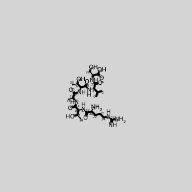 CC(C)[C@H](NC(=O)[C@@H](NC(=O)[C@H](C)NC(=O)[C@@H](NC(=O)[C@@H](N)CCCNC(=N)N)[C@@H](C)O)[C@@H](C)O)C(=O)N[C@@H](CO)C(=O)O